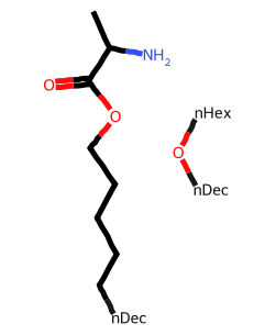 CCCCCCCCCCCCCCCOC(=O)C(C)N.CCCCCCCCCCOCCCCCC